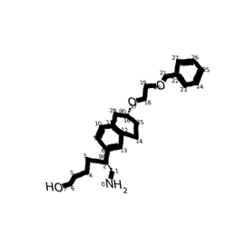 NC[C@H](CCCCO)c1ccc2c(c1)CC[C@@H](OCCOCc1ccccc1)C2